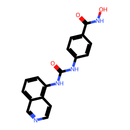 O=C(Nc1ccc(C(=O)NO)cc1)Nc1cccc2cnccc12